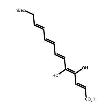 CCCCCCCCCCCC=CC=CC=CC(O)=C(O)C=CC(=O)O